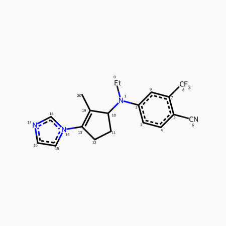 CCN(c1ccc(C#N)c(C(F)(F)F)c1)C1CCC(n2ccnc2)=C1C